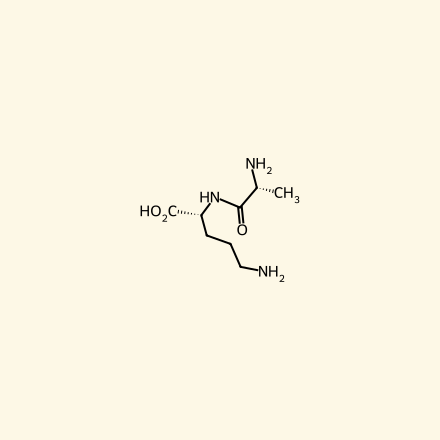 C[C@@H](N)C(=O)N[C@H](CCCN)C(=O)O